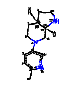 Cc1ccc(N2CC[C@H]3CCN[C@H]3C2)cn1